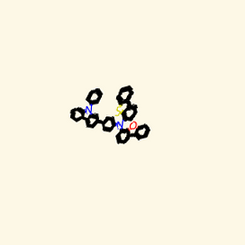 c1ccc(-n2c3ccccc3c3ccc(-c4ccc(N(c5cccc6c5oc5ccccc56)c5cccc6c5sc5ccccc56)cc4)cc32)cc1